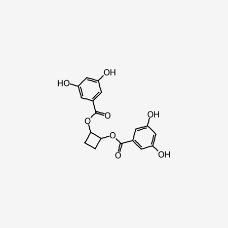 O=C(OC1CCC1OC(=O)c1cc(O)cc(O)c1)c1cc(O)cc(O)c1